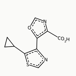 O=C(O)c1ncoc1-c1ncsc1C1CC1